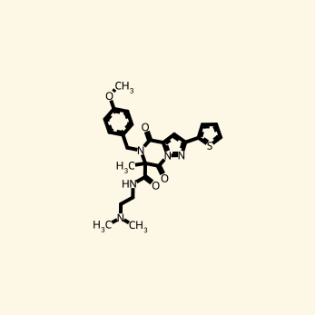 COc1ccc(CN2C(=O)c3cc(-c4cccs4)nn3C(=O)C2(C)C(=O)NCCN(C)C)cc1